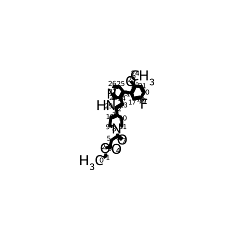 CCOC(=O)CC(=O)N1CC=C(c2cc3c(-c4cc(F)ccc4OC)ccnc3[nH]2)CC1